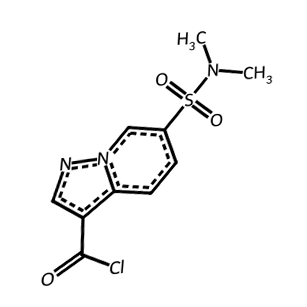 CN(C)S(=O)(=O)c1ccc2c(C(=O)Cl)cnn2c1